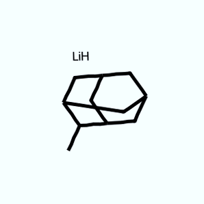 CC1C2CC3CC(C2)CC1C3.[LiH]